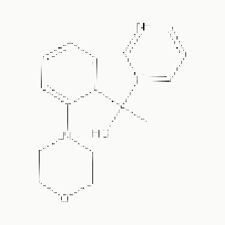 CC(O)(c1cccnc1)c1ccccc1N1CCOCC1